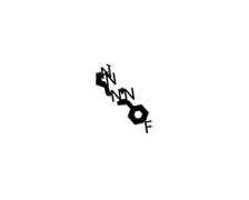 Cn1ccc(Cn2cnc(-c3ccc(F)cc3)c2)n1